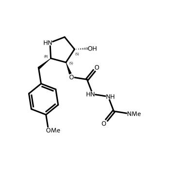 CNC(=O)NNC(=O)O[C@@H]1[C@@H](O)CN[C@@H]1Cc1ccc(OC)cc1